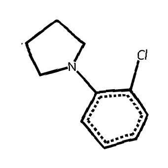 Clc1ccccc1N1C[CH]CC1